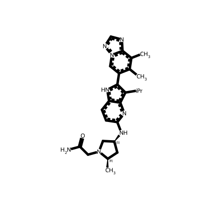 Cc1c(-c2[nH]c3ccc(N[C@H]4C[C@@H](C)N(CC(N)=O)C4)nc3c2C(C)C)cn2ncnc2c1C